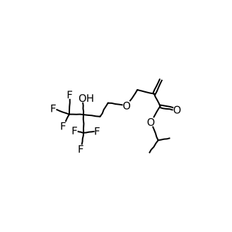 C=C(COCCC(O)(C(F)(F)F)C(F)(F)F)C(=O)OC(C)C